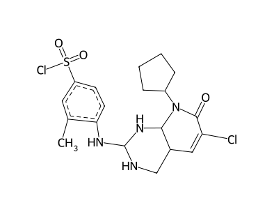 Cc1cc(S(=O)(=O)Cl)ccc1NC1NCC2C=C(Cl)C(=O)N(C3CCCC3)C2N1